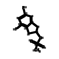 CS(=O)(=O)OC1Cc2cc(F)cc(F)c2C1